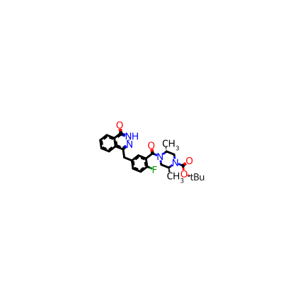 C[C@@H]1CN(C(=O)OC(C)(C)C)[C@@H](C)CN1C(=O)c1cc(Cc2n[nH]c(=O)c3ccccc23)ccc1F